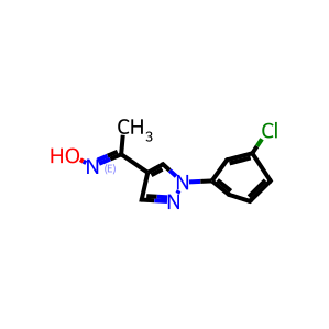 C/C(=N\O)c1cnn(-c2cccc(Cl)c2)c1